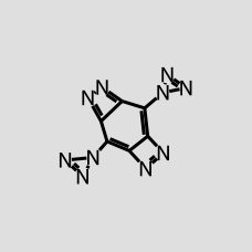 N1=NN1c1c2nnc2c(N2N=N2)c2nnc12